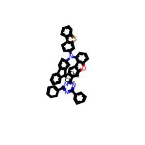 CC1(C)c2ccccc2-c2ccc(N(c3ccc4c(c3)sc3ccccc34)c3cccc4oc5cc(-c6nc(C7=CC=CCC7)nc(-c7ccccc7)n6)ccc5c34)cc21